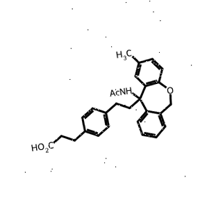 CC(=O)NC1(CCc2ccc(CCC(=O)O)cc2)c2ccccc2COc2ccc(C)cc21